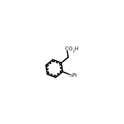 CCCc1ccccc1CC(=O)O